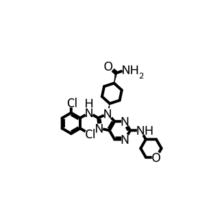 NC(=O)[C@H]1CC[C@H](n2c(Nc3c(Cl)cccc3Cl)nc3cnc(NC4CCOCC4)nc32)CC1